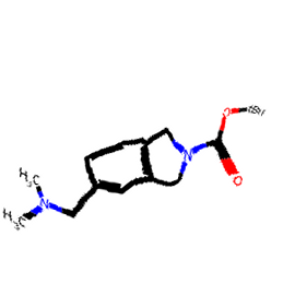 CN(C)Cc1ccc2c(c1)CN(C(=O)OC(C)(C)C)C2